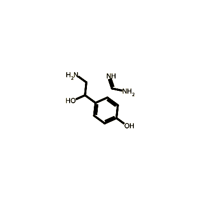 N=CN.NCC(O)c1ccc(O)cc1